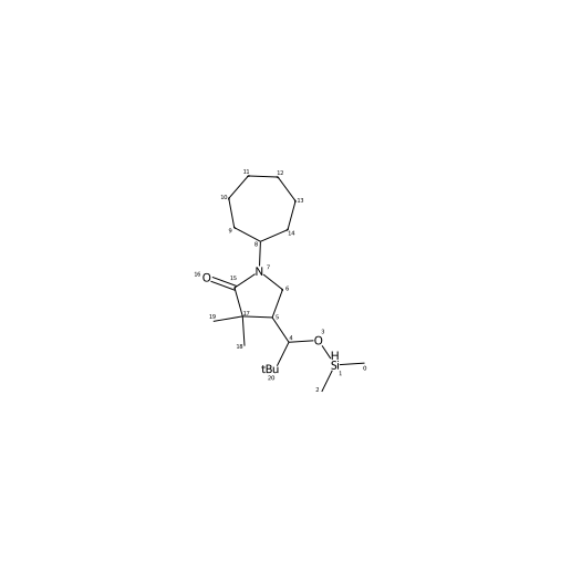 C[SiH](C)OC(C1CN(C2CCCCCC2)C(=O)C1(C)C)C(C)(C)C